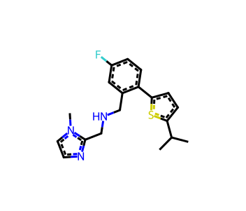 CC(C)c1ccc(-c2ccc(F)cc2CNCc2nccn2C)s1